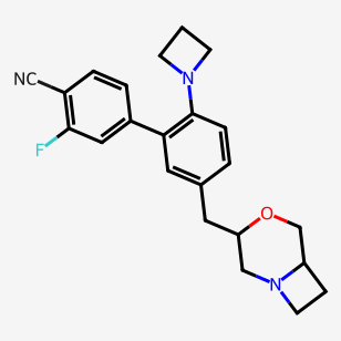 N#Cc1ccc(-c2cc(CC3CN4CCC4CO3)ccc2N2CCC2)cc1F